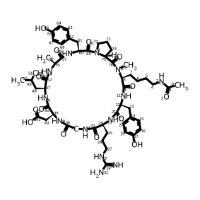 CC(=O)NCCCC[C@H]1C(=O)N[C@@H](Cc2ccc(O)cc2)C(=O)N[C@@H](CCCNC(=N)N)C(=O)NCC(=O)N[C@@H](CC(=O)O)C(=O)N[C@@H](CC(C)C)C(=O)N[C@@H](C)C(=O)N[C@@H](Cc2ccc(O)cc2)C(=O)N2CCC[C@@H]2C(=O)N1C